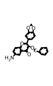 Nc1ccc2oc(-c3ccc4c(c3)OCO4)c(OCc3ccccc3)c(=O)c2c1